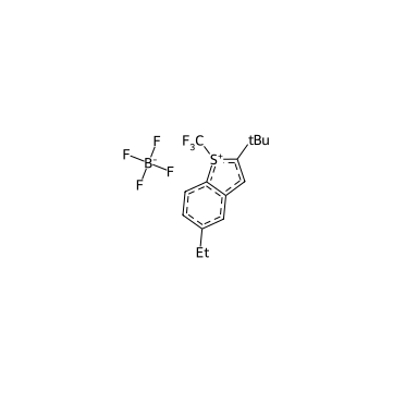 CCc1ccc2c(c1)cc(C(C)(C)C)[s+]2C(F)(F)F.F[B-](F)(F)F